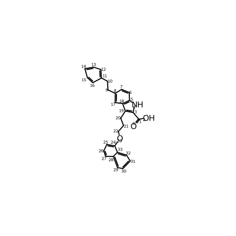 O=C(O)c1[nH]c2ccc(CCc3ccccc3)cc2c1CCCOc1cccc2ccccc12